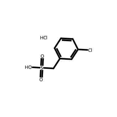 Cl.O=S(=O)(O)Cc1cccc(Cl)c1